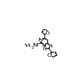 Nc1nc(-c2ccco2)cc2nc(-c3ccco3)nn12